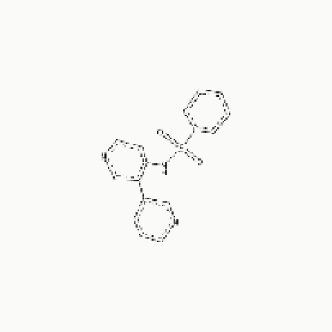 O=S(=O)(Nc1ccncc1-c1cccnc1)c1ccccc1